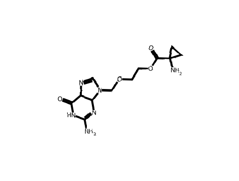 NC1=NC2C(N=CN2COCCOC(=O)C2(N)CC2)C(=O)N1